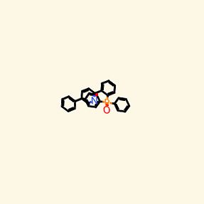 O=P(c1ccccc1)(c1ccccc1)c1ccccc1-c1ccc(-c2ccccc2)cn1